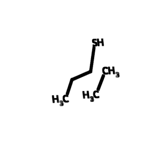 CC.CCCS